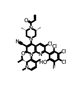 C=CC(=O)N1[C@H](C)CN(c2c(C#N)c(=O)n(C3=C(C)C=CN(C)[C@@H]3C(C)C)c3nc(-c4c(O)c(F)c(Cl)c(Cl)c4Cl)c(Cl)cc23)C[C@@H]1C